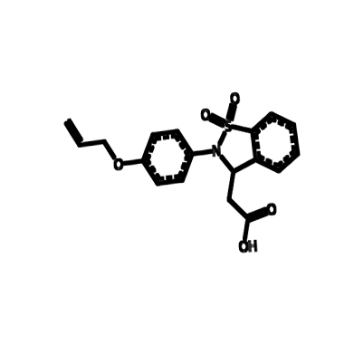 C=CCOc1ccc(N2C(CC(=O)O)c3ccccc3S2(=O)=O)cc1